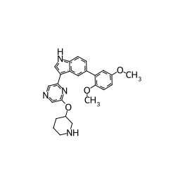 COc1ccc(OC)c(-c2ccc3[nH]cc(-c4cncc(OC5CCCNC5)n4)c3c2)c1